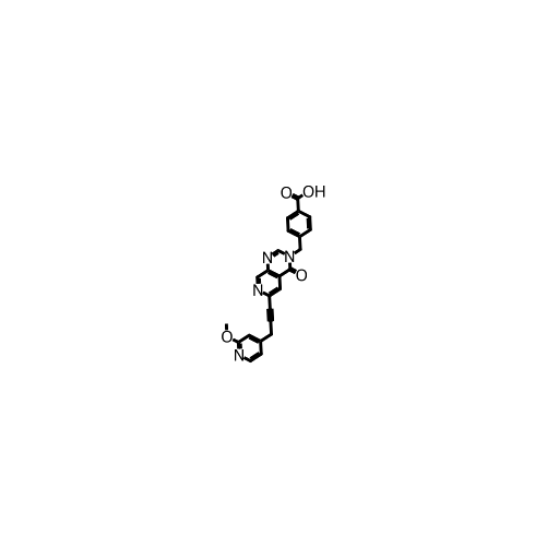 COc1cc(CC#Cc2cc3c(=O)n(Cc4ccc(C(=O)O)cc4)cnc3cn2)ccn1